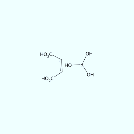 O=C(O)/C=C\C(=O)O.OB(O)O